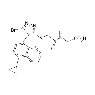 O=C(O)CNC(=O)CSc1nnc(Br)n1-c1ccc(C2CC2)c2ccccc12